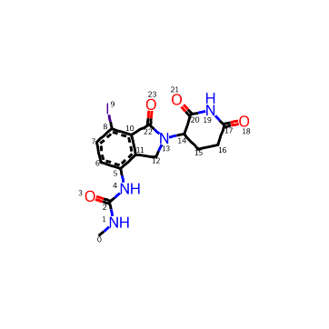 CNC(=O)Nc1ccc(I)c2c1CN(C1CCC(=O)NC1=O)C2=O